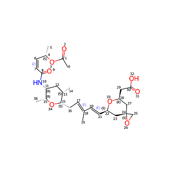 CC(=O)O[C@@H](C)/C=C\C(=O)N[C@@H]1C[C@H](C)[C@H](C/C=C(C)/C=C/[C@@H]2C[C@]3(CO3)C[C@H](CC(=O)O)O2)O[C@@H]1C